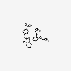 CCOc1ccc(C2=NN(Cc3ccc(C(=O)O)cc3)C(=O)C3CCCCC23)cc1OCC